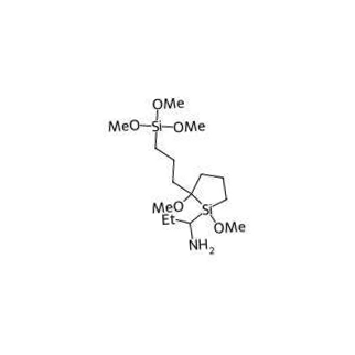 CCC(N)[Si]1(OC)CCCC1(CCC[Si](OC)(OC)OC)OC